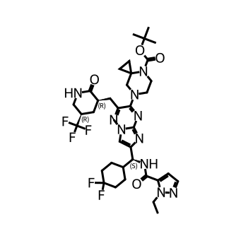 CCn1nccc1C(=O)N[C@H](c1cn2nc(C[C@H]3C[C@@H](C(F)(F)F)CNC3=O)c(N3CCN(C(=O)OC(C)(C)C)C4(CC4)C3)nc2n1)C1CCC(F)(F)CC1